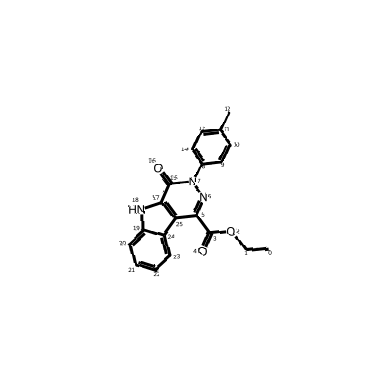 CCOC(=O)c1nn(-c2ccc(C)cc2)c(=O)c2[nH]c3ccccc3c12